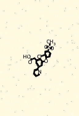 CCS(=O)(=O)c1ccc(Oc2cc(CC(=O)O)cc(-c3ccccn3)c2)c(Cl)c1